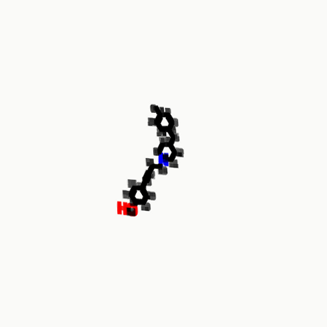 Cc1ccc(CC2CCN(CCC#Cc3ccc(O)cc3)CC2)cc1